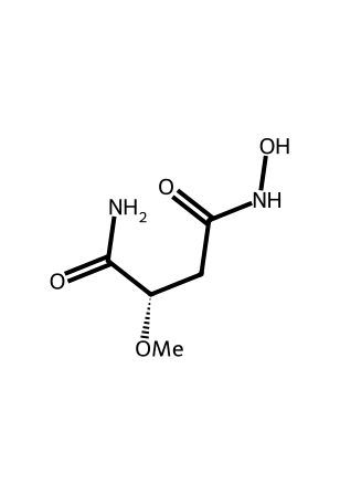 CO[C@@H](CC(=O)NO)C(N)=O